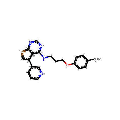 CC(=O)Nc1ccc(OCCCNc2ncnc3scc(-c4cccnc4)c23)cc1